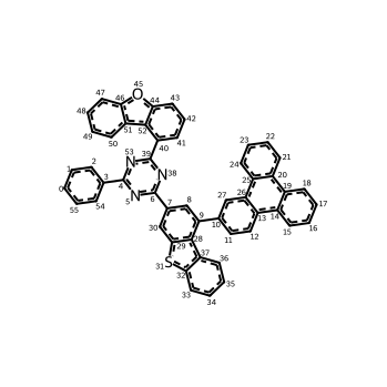 c1ccc(-c2nc(-c3cc(-c4ccc5c6ccccc6c6ccccc6c5c4)c4c(c3)sc3ccccc34)nc(-c3cccc4oc5ccccc5c34)n2)cc1